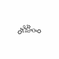 O=C(Nc1sccc1C(=O)N1CCN(c2ccccc2)CC1)c1nc2ccccc2s1